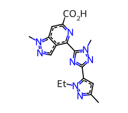 CCn1nc(C)cc1-c1nc(-c2nc(C(=O)O)cc3c2cnn3C)n(C)n1